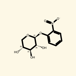 O=[N+]([O-])c1ccccc1O[C@@H]1OC[C@@H](O)[C@H](O)[C@H]1O